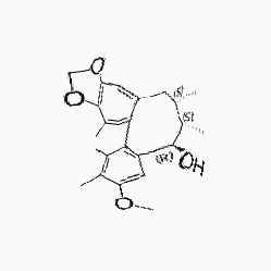 COc1cc2c(c(C)c1C)-c1c(cc3c(c1C)OCO3)C[C@H](C)[C@H](C)[C@H]2O